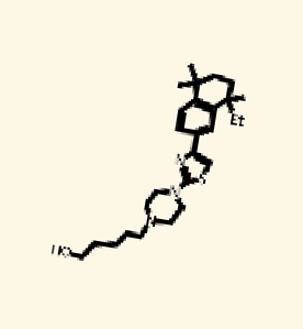 CCC1(C)CCC(C)(C)c2ccc(-c3csc(N4CCN(CCCCCO)CC4)n3)cc21